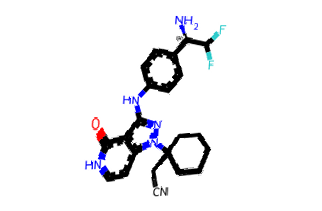 N#CCC1(n2nc(Nc3ccc([C@@H](N)C(F)F)cc3)c3c(=O)[nH]ccc32)CCCCC1